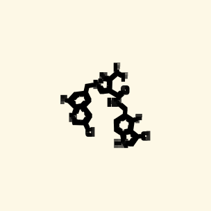 O=C(NCc1ccc2[nH]cc(Cl)c2c1F)c1cn(Cc2cc(F)c3ncc(Cl)cc3c2)nc1C(F)F